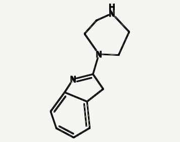 c1ccc2c(c1)CC(N1CCNCC1)=N2